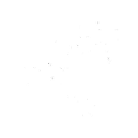 CC1(C)c2cc(-c3cccc(-c4nc(-c5ccccc5)nc(-c5ccc(-c6ccccc6)cc5)n4)c3)ccc2-c2c(C#N)cccc21